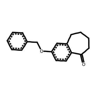 O=C1CCCCc2cc(OCc3ccccc3)ccc21